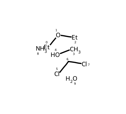 CCOCC.CO.ClCCl.N.O